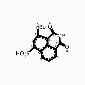 CCCCc1cc(S(=O)(=O)O)c2cccc3c2c1C(=O)OC3=O